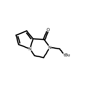 CC(C)(C)CN1CCn2cccc2C1=O